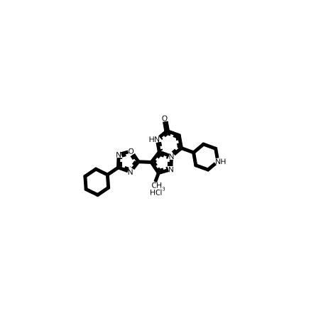 Cc1nn2c(C3CCNCC3)cc(=O)[nH]c2c1-c1nc(C2CCCCC2)no1.Cl